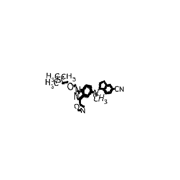 CN(c1ccc2c(c1)c(-c1cnco1)nn2COCC[Si](C)(C)C)C1CCc2cc(C#N)ccc21